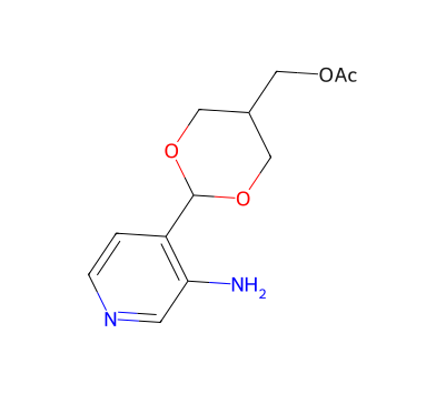 CC(=O)OCC1COC(c2ccncc2N)OC1